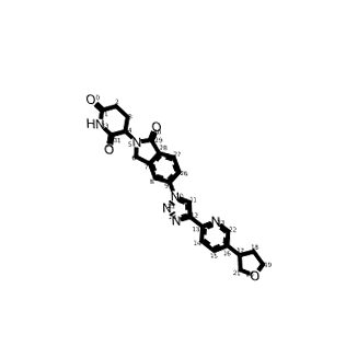 O=C1CCC(N2Cc3cc(-n4cc(-c5ccc(C6CCOC6)cn5)nn4)ccc3C2=O)C(=O)N1